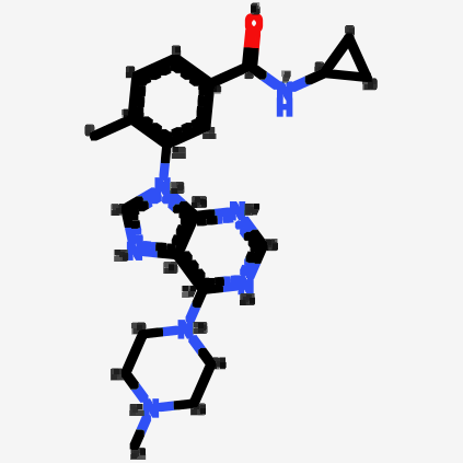 Cc1ccc(C(=O)NC2CC2)cc1-n1cnc2c(N3CCN(C)CC3)ncnc21